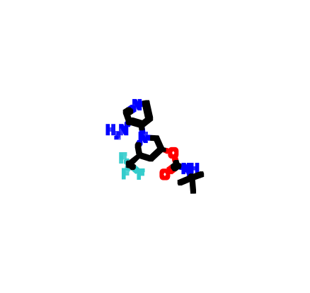 CC(C)(C)NC(=O)O[C@H]1C[C@@H](C(F)(F)F)CN(c2ccncc2N)C1